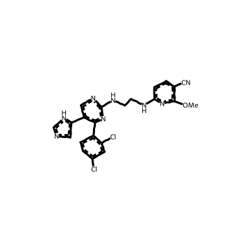 COc1nc(NCCNc2ncc(-c3cnc[nH]3)c(-c3ccc(Cl)cc3Cl)n2)ccc1C#N